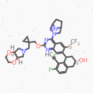 C#Cc1c(F)ccc2c1C(c1c(SC(F)(F)F)cc3c(N4CC5CCC(C4)N5)nc(OCC4(CN5C[C@@H]6OCCO[C@@H]6C5)CC4)nc3c1F)C[C@H](O)C2